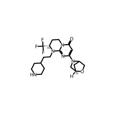 O=c1cc(N2C[C@@H]3CC2CO3)nc2n1CC[C@@H](C(F)(F)F)N2CCC1CCNCC1